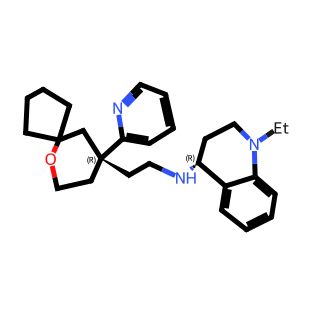 CCN1CC[C@@H](NCC[C@@]2(c3ccccn3)CCOC3(CCCC3)C2)c2ccccc21